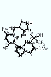 COc1cc2ncc(-c3nc(NC4CNCC4F)c(F)cc3F)n2nc1C(C)(O)C(F)(F)F